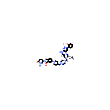 C[C@H]1CN2c3cc(-c4ccccc4O)nnc3NC[C@H]2CN1C(=O)N1CCN(CC2CCN(c3ccc4c(c3)C(=O)N(C3CCC(=O)NC3)C4)CC2)CC1